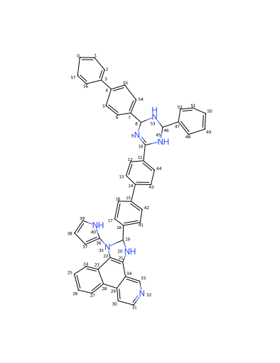 c1ccc(-c2ccc(C3N=C(c4ccc(-c5ccc(C6Nc7c(c8ccccc8c8ccncc78)N6c6ccc[nH]6)cc5)cc4)NC(c4ccccc4)N3)cc2)cc1